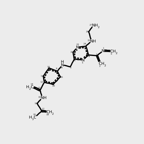 C=NC(=C)c1nc(CNc2ccc(C(=C)NCC(=C)C)cc2)cnc1NCN